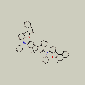 Cc1cc2ccccc2c2c1oc1c(N(c3ccccc3)c3ccc4c(c3)C(C)(C)c3cc(N(c5ccccc5)c5cccc6c5oc5c(C)cc7ccccc7c56)c5ccccc5c3-4)cccc12